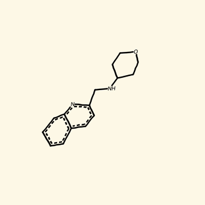 c1ccc2nc(CNC3CCOCC3)ccc2c1